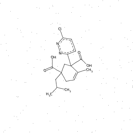 CC1=CCC(CC(C)C)(C(=O)O)CC1(C(=O)O)c1ccc(Cl)nn1